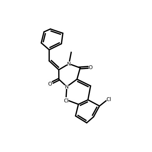 Cn1c(=O)c(=Cc2c(Cl)cccc2Cl)n(C)c(=O)c1=Cc1ccccc1